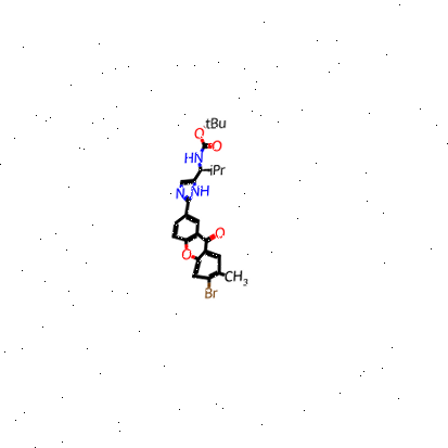 Cc1cc2c(=O)c3cc(-c4ncc([C@@H](NC(=O)OC(C)(C)C)C(C)C)[nH]4)ccc3oc2cc1Br